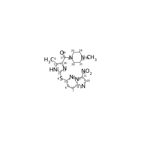 Cc1[nH]c(Sc2ccc3ncc([N+](=O)[O-])n3n2)nc1C(=O)N1CCN(C)CC1